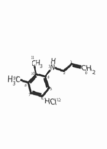 C=CCNc1cccc(C)c1C.Cl